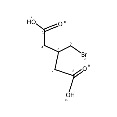 O=C(O)CC(CBr)CC(=O)O